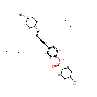 CCCC[C@H]1CC[C@H](C=CC#Cc2ccc(OC(=O)[C@H]3CC[C@H](CCC)CC3)cc2)CC1